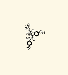 CS(C)(C)c1ccc(NC(=O)C(NC(=O)CCS(C)(=O)=O)c2ccc(O)cc2)cc1